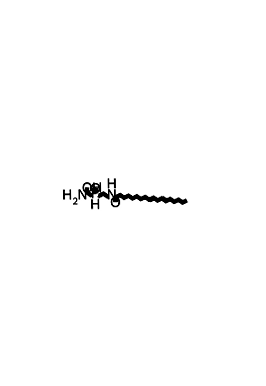 CCCCCC=CCC=CCCCCCCCC(=O)NCCC[PH](=O)CC(N)O